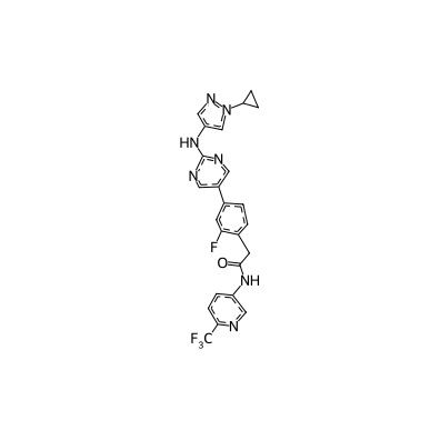 O=C(Cc1ccc(-c2cnc(Nc3cnn(C4CC4)c3)nc2)cc1F)Nc1ccc(C(F)(F)F)nc1